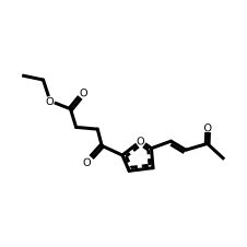 CCOC(=O)CCC(=O)c1ccc(/C=C/C(C)=O)o1